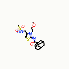 COCCn1c(CNS(C)(=O)=O)cs/c1=N\C(=O)C12CC3CC(CC(C3)C1)C2